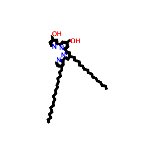 CCCCCCCCCCCCCCCCCCCc1ccnc(-c2cc(CCCCCCCCCCCCCCCC)cc(-c3cc(CO)cc(-c4cc(CO)ccn4)n3)n2)c1